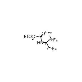 CCOC(=O)C(=O)NC(CF)C(F)F